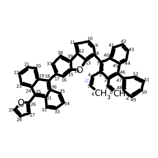 C=Cc1c(/C=C\C)c(-c2cccc3c2oc2cc(-c4c5ccccc5c(-c5ccco5)c5ccccc45)ccc23)c2ccccc2c1-c1ccccc1